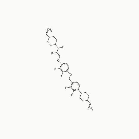 C=CC1CCC(c2ccc(COc3ccc(OCC(F)C(F)C4CCC(C=C)CC4)c(F)c3F)c(F)c2F)CC1